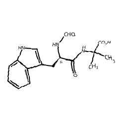 CC(C)(NC(=O)[C@@H](Cc1c[nH]c2ccccc12)NC=O)C(=O)O